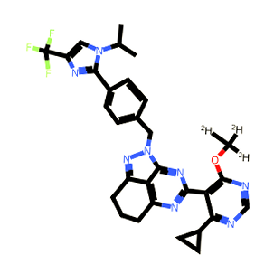 [2H]C([2H])([2H])Oc1ncnc(C2CC2)c1-c1nc2c3c(nn(Cc4ccc(-c5nc(C(F)(F)F)cn5C(C)C)cc4)c3n1)CCC2